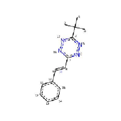 CC(C)(C)c1nnc(/C=C/c2ccccc2)nn1